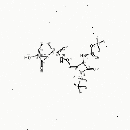 CC(C)(C)OC(=O)NC1C(=O)N([Si](C)(C)C(C)(C)C)C1CONC(=O)[C@@H]1CCC2CN1C(=O)N2O